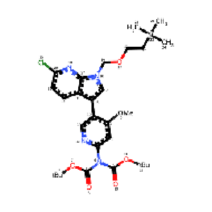 COc1cc(N(C(=O)OC(C)(C)C)C(=O)OC(C)(C)C)ncc1-c1cn(COCC[Si](C)(C)C)c2nc(Cl)ccc12